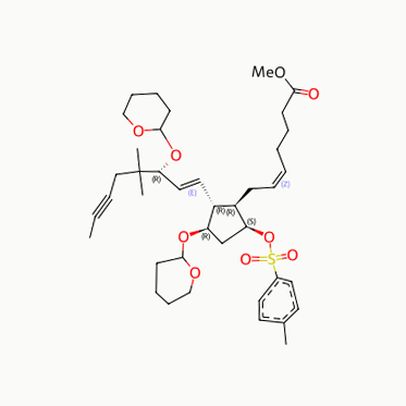 CC#CCC(C)(C)[C@@H](/C=C/[C@@H]1[C@@H](C/C=C\CCCC(=O)OC)[C@@H](OS(=O)(=O)c2ccc(C)cc2)C[C@H]1OC1CCCCO1)OC1CCCCO1